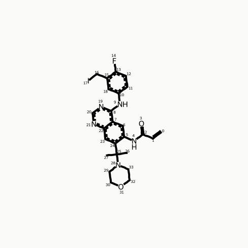 C=CC(=O)Nc1cc2c(Nc3ccc(F)c(CI)c3)ncnc2cc1C(C)(C)N1CCOCC1